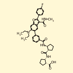 CCN(CC)c1cc2oc(-c3ccc(F)cc3)c(C(=O)NC)c2cc1-c1cccc(C(=O)N[C@H]2CCC[C@H]2C(=O)N[C@H]2CCC[C@H]2C(=O)O)c1